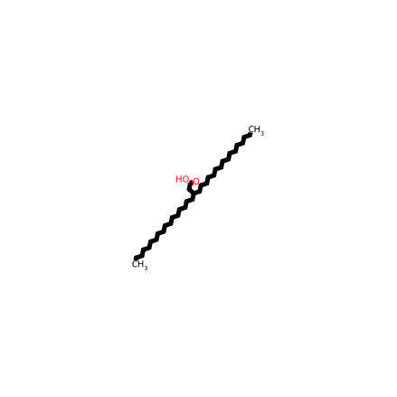 CCCCCCCCCCCCCCCCCC(CCCCCCCCCCCCCCCC)CC(=O)O